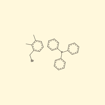 Cc1cccc(CBr)c1C.c1ccc(P(c2ccccc2)c2ccccc2)cc1